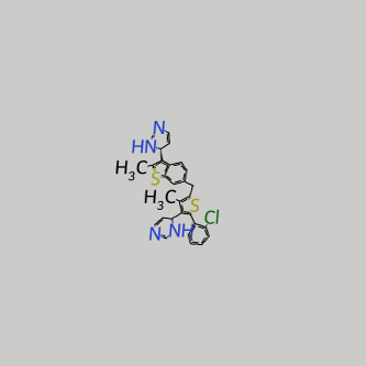 Cc1sc2cc(Cc3sc(-c4ccccc4Cl)c(C4C=CN=CN4)c3C)ccc2c1[C@@H]1C=CN=CN1